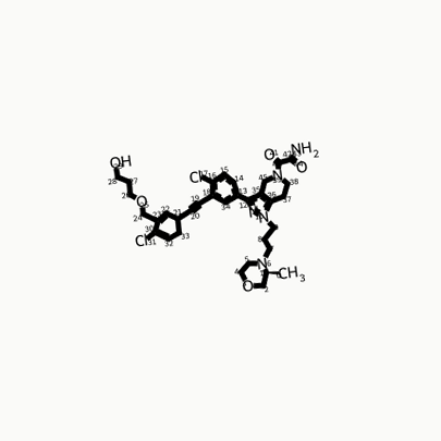 C[C@H]1COCCN1CCCn1nc(-c2ccc(Cl)c(C#CC3C=C(COCCCO)C(Cl)=CC3)c2)c2c1CCN(C(=O)C(N)=O)C2